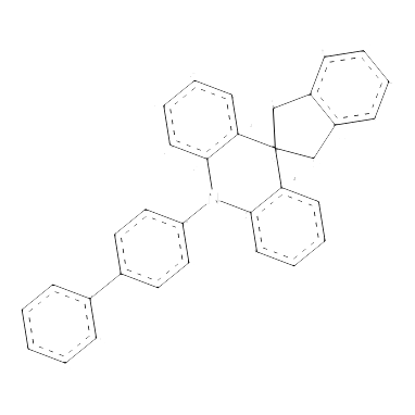 c1ccc(-c2ccc(N3c4ccccc4C4(Cc5ccccc5C4)c4ccccc43)cc2)cc1